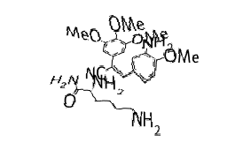 COc1ccc(/C=C(/C#N)c2cc(OC)c(OC)c(OC)c2)cc1N.NCCCC[C@@H](N)C(N)=O